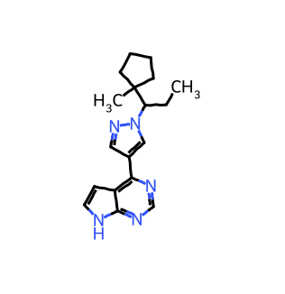 CCC(n1cc(-c2ncnc3[nH]ccc23)cn1)C1(C)CCCC1